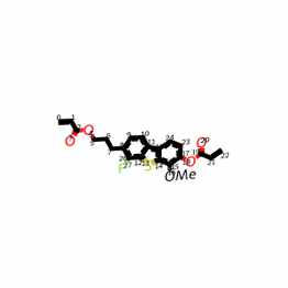 C=CC(=O)OCCCc1ccc2c(sc3c(OC)c(OC(=O)C=C)ccc32)c1F